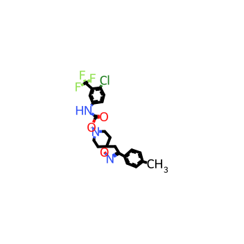 Cc1ccc(C2=NOC3(CCN(OC(=O)Nc4ccc(Cl)c(C(F)(F)F)c4)CC3)C2)cc1